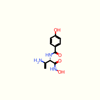 C=C(N)[C@H](NC(=O)c1ccc(O)cc1)C(=O)NO